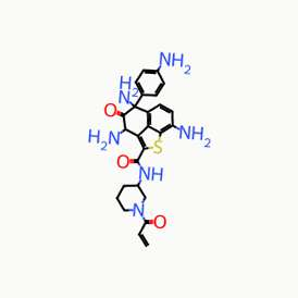 C=CC(=O)N1CCCC(NC(=O)c2sc3c(N)ccc4c3c2C(N)C(=O)C4(N)c2ccc(N)cc2)C1